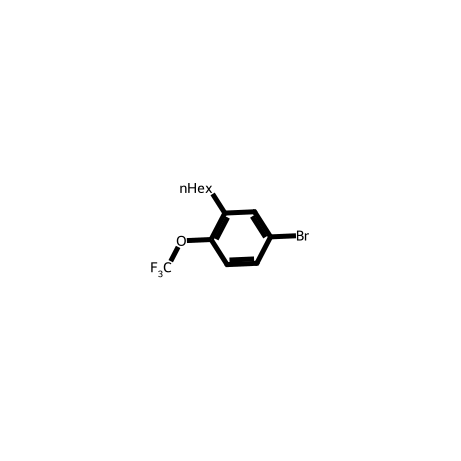 CCCCCCc1cc(Br)ccc1OC(F)(F)F